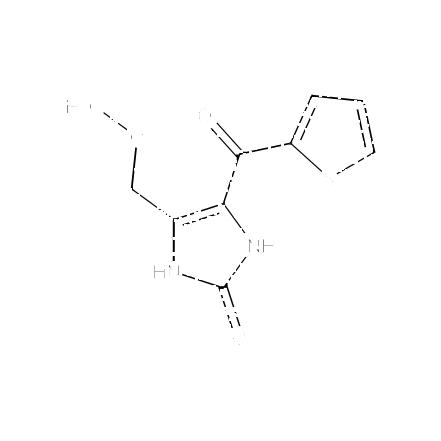 COCc1[nH]c(=O)[nH]c1C(=O)c1cccs1